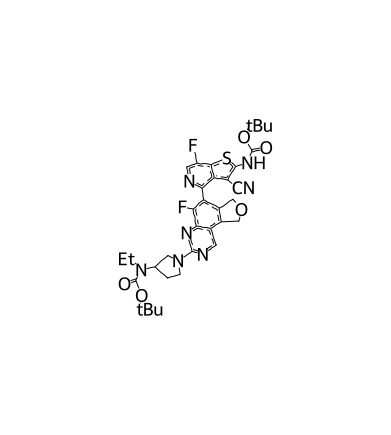 CCN(C(=O)OC(C)(C)C)C1CCN(c2ncc3c4c(c(-c5ncc(F)c6sc(NC(=O)OC(C)(C)C)c(C#N)c56)c(F)c3n2)COC4)C1